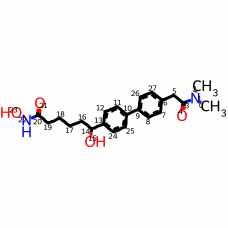 CN(C)C(=O)Cc1ccc(-c2ccc(C(O)CCCCC(=O)NO)cc2)cc1